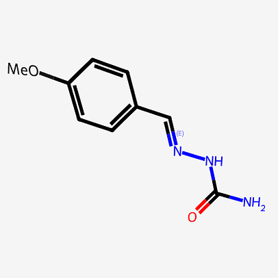 COc1ccc(/C=N/NC(N)=O)cc1